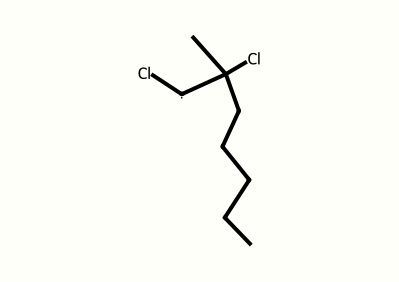 CCCCCC(C)(Cl)[CH]Cl